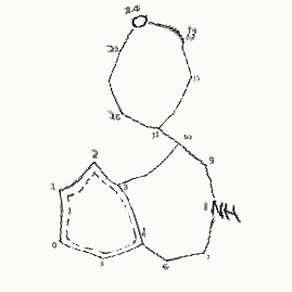 c1ccc2c(c1)CCNCC2C1CCOCC1